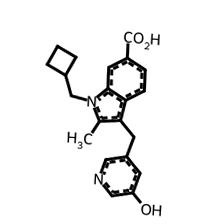 Cc1c(Cc2cncc(O)c2)c2ccc(C(=O)O)cc2n1CC1CCC1